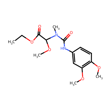 CCOC(=O)C(OC)N(C)C(=O)Nc1ccc(OC)c(OC)c1